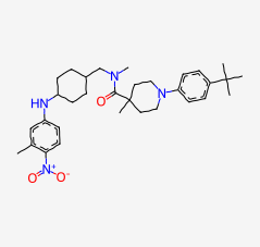 Cc1cc(NC2CCC(CN(C)C(=O)C3(C)CCN(c4ccc(C(C)(C)C)cc4)CC3)CC2)ccc1[N+](=O)[O-]